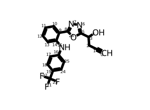 C#CCC(O)c1nnc(-c2ccccc2Nc2ccc(C(F)(F)F)cc2)o1